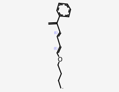 [CH2]CCCO/C=C/C=C/C(=C)c1ccccc1